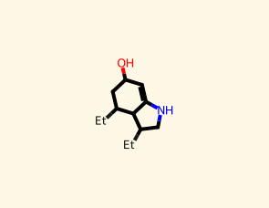 CCC1CNC2=CC(O)CC(CC)C21